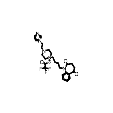 O=C1CCC(=O)N(CCCC[N+]2(OC(=O)C(F)(F)F)CCN(CCn3ccnc3)CC2)c2ccccc21